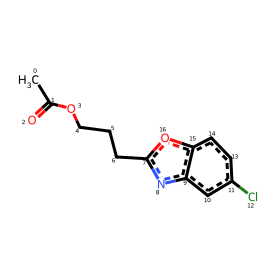 CC(=O)OCCCc1nc2cc(Cl)ccc2o1